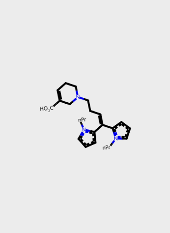 CCCn1cccc1C(=CCCN1CCC=C(C(=O)O)C1)c1cccn1CCC